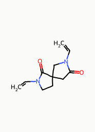 C=CN1CC2(CCN(C=C)C2=O)CC1=O